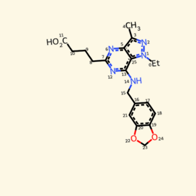 CCn1nc(C)c2nc(CCCC(=O)O)nc(NCc3ccc4c(c3)OCO4)c21